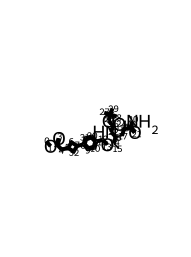 COC(=O)CC1CC(c2ccc(CO[C@H](C)[C@H](CCC(N)=O)NC(=O)OC(C)(C)C)cc2)C1